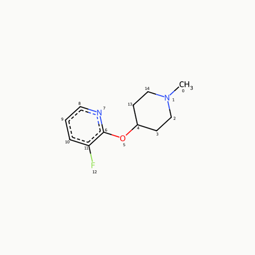 CN1CCC(Oc2ncccc2F)CC1